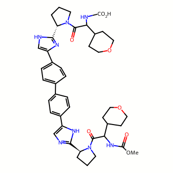 COC(=O)NC(C(=O)N1CCC[C@H]1c1ncc(-c2ccc(-c3ccc(-c4c[nH]c([C@@H]5CCCN5C(=O)C(NC(=O)O)C5CCOCC5)n4)cc3)cc2)[nH]1)C1CCOCC1